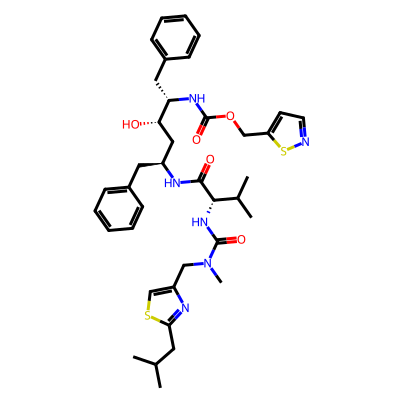 CC(C)Cc1nc(CN(C)C(=O)N[C@H](C(=O)N[C@@H](Cc2ccccc2)C[C@H](O)[C@H](Cc2ccccc2)NC(=O)OCc2ccns2)C(C)C)cs1